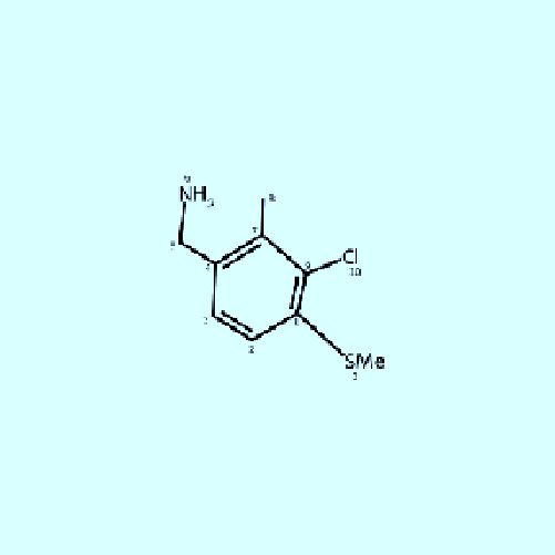 CSc1ccc(CN)c(C)c1Cl